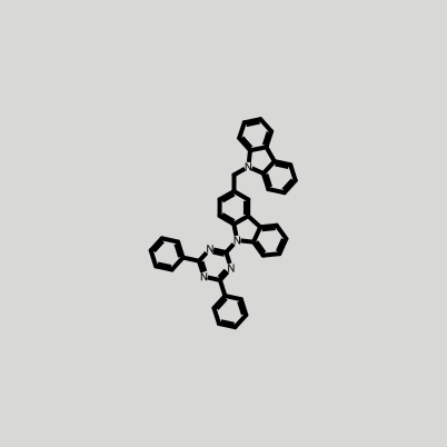 c1ccc(-c2nc(-c3ccccc3)nc(-n3c4ccccc4c4cc(Cn5c6ccccc6c6ccccc65)ccc43)n2)cc1